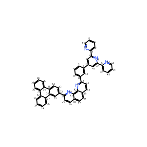 c1ccc(-c2cc(-c3cccc(-c4ccc5ccc6ccc(-c7ccc8c9ccccc9c9ccccc9c8c7)nc6c5n4)c3)cc(-c3ccccn3)n2)nc1